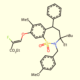 CCCCC1(CC)CC(c2ccccc2)c2cc(SC)c(O/C=C(\F)C(=O)OCC)cc2S(=O)(=O)N1Cc1ccc(OC)cc1